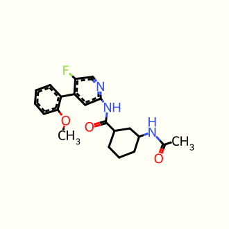 COc1ccccc1-c1cc(NC(=O)C2CCCC(NC(C)=O)C2)ncc1F